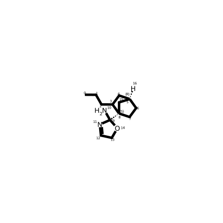 CCCC1C[C@H]2CC[C@]1(C1(N)N=CCO1)C2